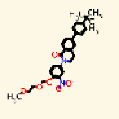 COCCOCOc1ccc(N2CCc3cc(-c4ccc(C(C)(C)C)cc4)ccc3C2=O)cc1[N+](=O)[O-]